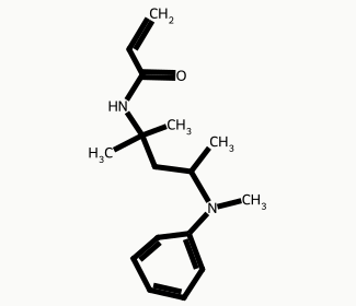 C=CC(=O)NC(C)(C)CC(C)N(C)c1ccccc1